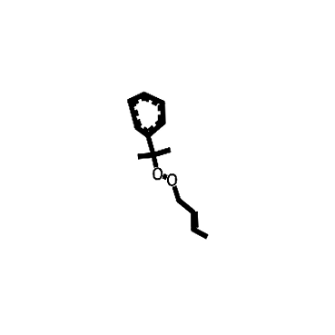 CC=CCOOC(C)(C)c1ccccc1